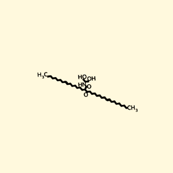 CCCCCCCCC=CCCCCCCCC(=O)C(CCCCCCC=CCCCCCCCC)C(=O)NC(CO)CO